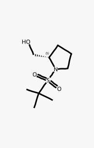 CC(C)(C)S(=O)(=O)N1CCC[C@H]1CO